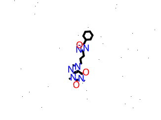 Cn1c(=O)c2c(ncn2CCCc2noc(C3CCCCC3)n2)n(C)c1=O